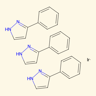 [Ir].c1ccc(-c2cc[nH]n2)cc1.c1ccc(-c2cc[nH]n2)cc1.c1ccc(-c2cc[nH]n2)cc1